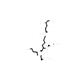 COC(=O)[C@H](CCCCN)NC(=O)C(CCCCNC(=O)[C@H](O)[C@@H](O)[C@@H](O)[C@H](O)C(=O)O)NC(=O)OC(C)(C)C